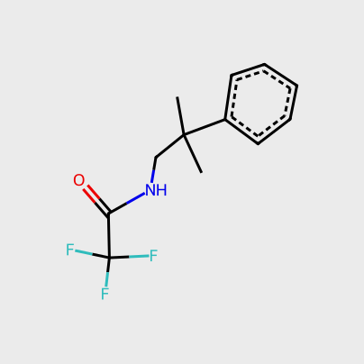 CC(C)(CNC(=O)C(F)(F)F)c1ccccc1